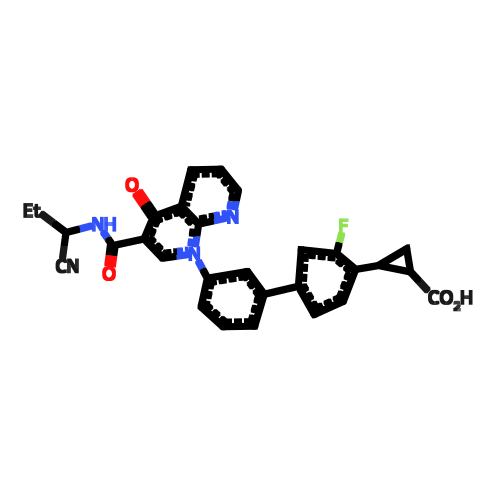 CCC(C#N)NC(=O)c1cn(-c2cccc(-c3ccc(C4CC4C(=O)O)c(F)c3)c2)c2ncccc2c1=O